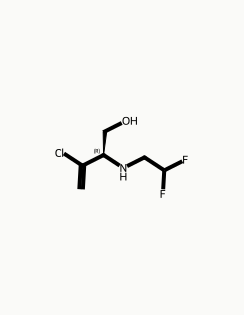 C=C(Cl)[C@@H](CO)NCC(F)F